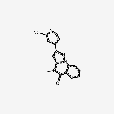 Cn1c(=O)c2ccccc2n2nc(-c3ccnc(C#N)c3)cc12